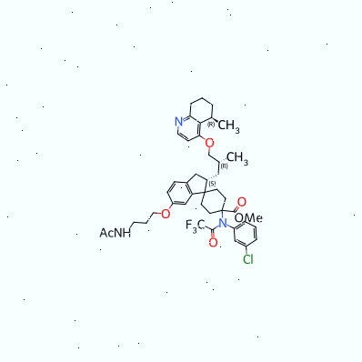 COC(=O)C1(N(C(=O)C(F)(F)F)c2cccc(Cl)c2)CCC2(CC1)c1cc(OCCCNC(C)=O)ccc1C[C@@H]2C[C@@H](C)COc1ccnc2c1[C@H](C)CCC2